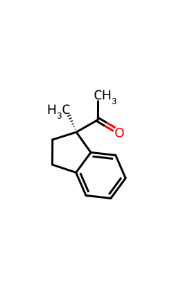 CC(=O)[C@]1(C)CCc2ccccc21